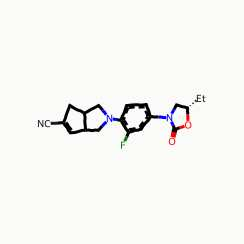 CC[C@H]1CN(c2ccc(N3CC4C=C(C#N)CC4C3)c(F)c2)C(=O)O1